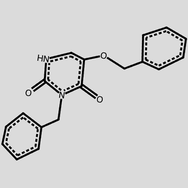 O=c1[nH]cc(OCc2ccccc2)c(=O)n1Cc1ccccc1